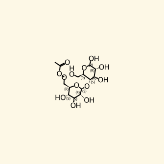 CC(=O)OOC[C@H]1O[C@@H](O[C@H]2[C@H](O)[C@@H](O)[C@H](O)O[C@@H]2CO)[C@H](O)[C@@H](O)[C@@H]1O